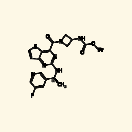 CC(C)OC(=O)NC1CN(C(=O)c2nc(N[C@@H](C)c3cncc(F)c3)nc3ccsc23)C1